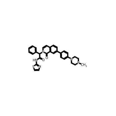 CN1CCN(c2ccc(-c3ccc4ccn(C(C(=O)Nc5nccs5)c5ccccc5)c(=O)c4c3)cc2)CC1